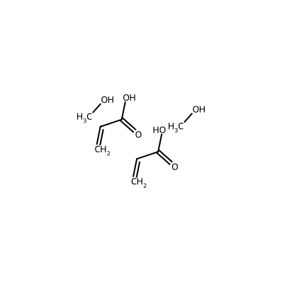 C=CC(=O)O.C=CC(=O)O.CO.CO